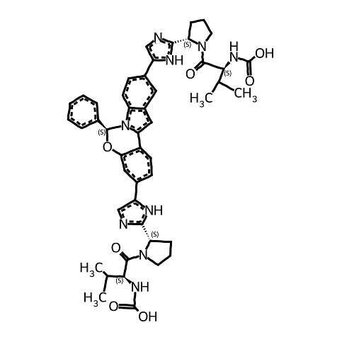 CC(C)[C@H](NC(=O)O)C(=O)N1CCC[C@H]1c1ncc(-c2ccc3c(c2)O[C@@H](c2ccccc2)n2c-3cc3cc(-c4cnc([C@@H]5CCCN5C(=O)[C@@H](NC(=O)O)C(C)C)[nH]4)ccc32)[nH]1